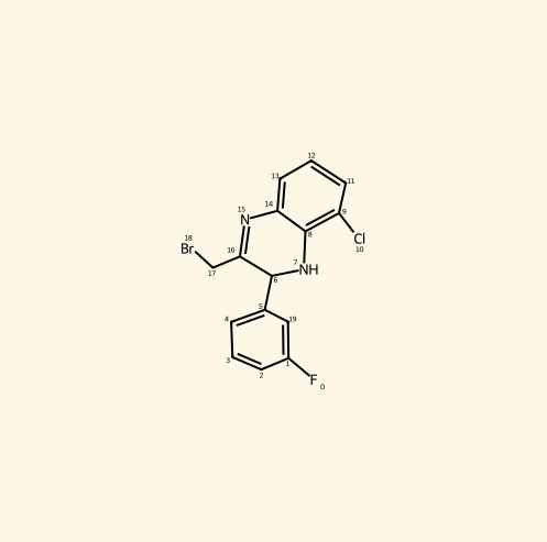 Fc1cccc(C2Nc3c(Cl)cccc3N=C2CBr)c1